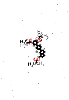 C=C(C)C(=O)OCC1CCc2ccc(-c3ccc(-c4cc(OC(=O)C(=C)C)cc(OC(=O)C(=C)C)c4)cc3F)cc21